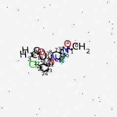 C=CC(=O)N1CC2(CCN(C(=O)[C@H]3COC(C)(C)C[C@H]3c3c(F)cccc3Cl)CC2(F)F)C1